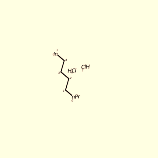 CCCCCC[CH2][In].Cl.Cl